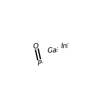 O=[P].[Ga].[In]